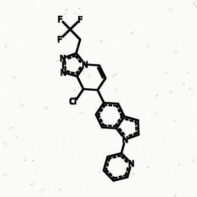 FC(F)(F)Cc1nnc2n1C=CC(c1ccc3c(ccn3-c3ccccn3)c1)C2Cl